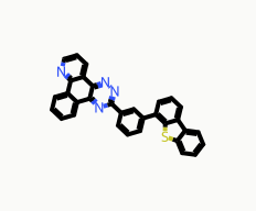 c1cc(-c2nnc3c4cccnc4c4ccccc4c3n2)cc(-c2cccc3c2sc2ccccc23)c1